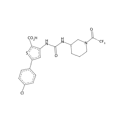 O=C(Nc1cc(-c2ccc(Cl)cc2)sc1C(=O)O)NC1CCCN(C(=O)C(F)(F)F)C1